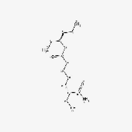 CCC[C@H](CC)CC(=O)CCCC[C@@H](CC)C(N)=O